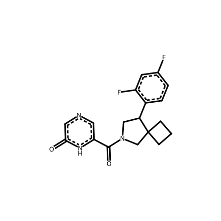 O=C(c1cncc(=O)[nH]1)N1CC(c2ccc(F)cc2F)C2(CCC2)C1